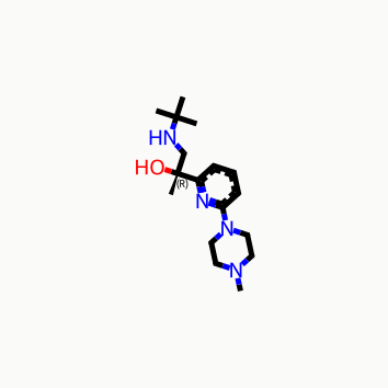 CN1CCN(c2cccc([C@](C)(O)CNC(C)(C)C)n2)CC1